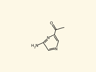 CC(=O)c1cncc(N)n1